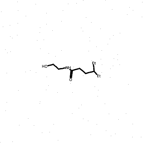 CCC(CC)CCC(=O)NCCO